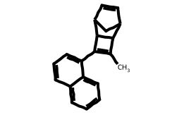 CC1=C(c2cccc3ccccc23)C2C3C=CC(C3)C12